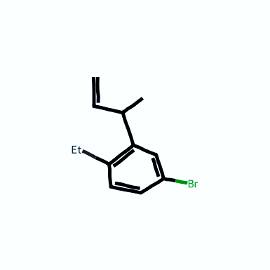 C=C[C](C)c1cc(Br)ccc1CC